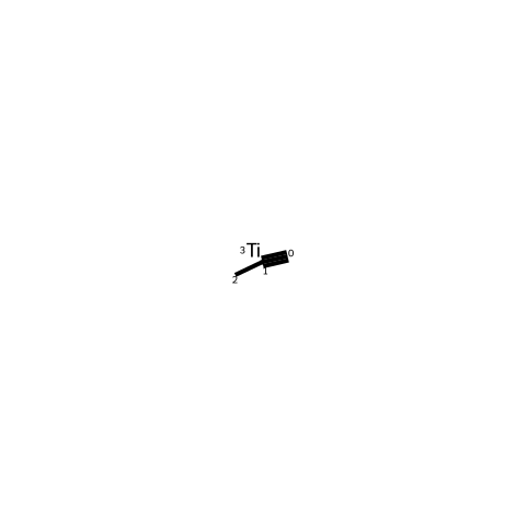 C#CC.[Ti]